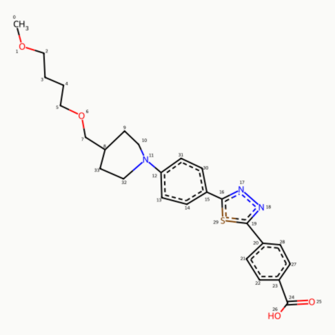 COCCCCOCC1CCN(c2ccc(-c3nnc(-c4ccc(C(=O)O)cc4)s3)cc2)CC1